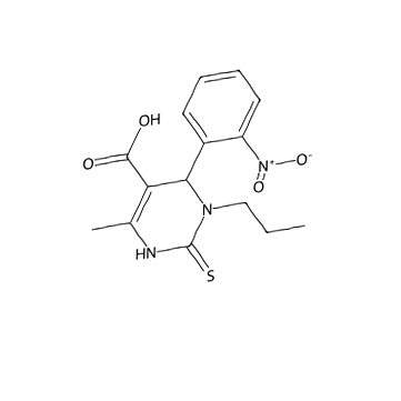 CCCN1C(=S)NC(C)=C(C(=O)O)C1c1ccccc1[N+](=O)[O-]